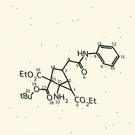 CCOC(=O)C1C2C(CC(=O)Nc3ccccc3)CC(C(=O)OCC)(C(=O)OC(C)(C)C)C12N